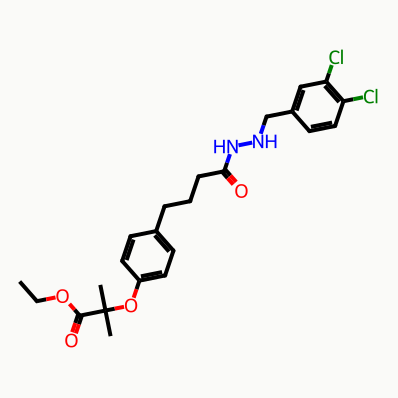 CCOC(=O)C(C)(C)Oc1ccc(CCCC(=O)NNCc2ccc(Cl)c(Cl)c2)cc1